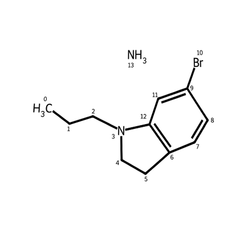 CCCN1CCc2ccc(Br)cc21.N